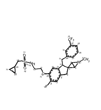 CN1C2C1C21Cc2cc(F)c(OCCNS(=O)(=O)CC3CC3)cc2C1Cc1cccc(C(F)(F)F)c1